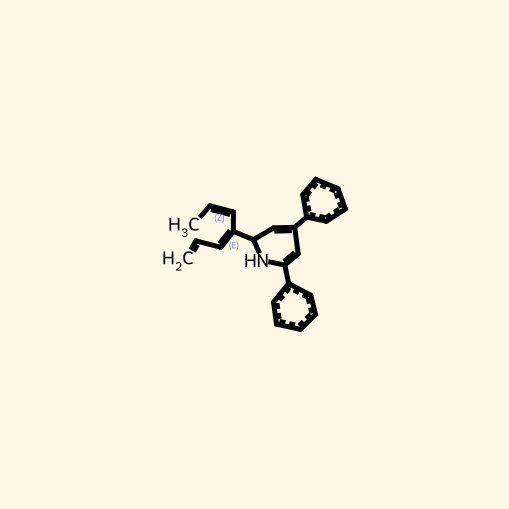 C=C/C=C(\C=C/C)C1C=C(c2ccccc2)C=C(c2ccccc2)N1